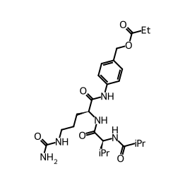 CCC(=O)OCc1ccc(NC(=O)[C@H](CCCNC(N)=O)NC(=O)[C@@H](NC(=O)C(C)C)C(C)C)cc1